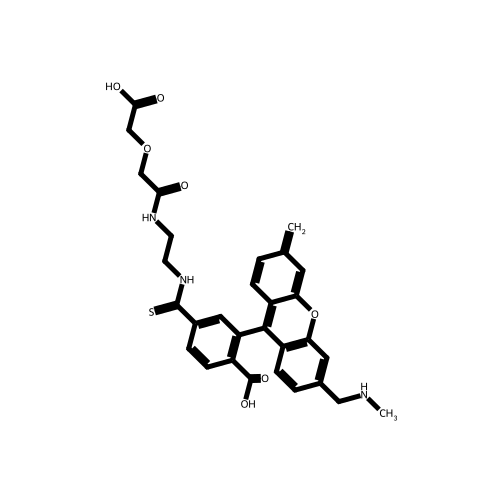 C=c1ccc2c(c1)Oc1cc(CNC)ccc1C=2c1cc(C(=S)NCCNC(=O)COCC(=O)O)ccc1C(=O)O